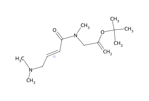 C=C(CN(C)C(=O)/C=C/CN(C)C)OC(C)(C)C